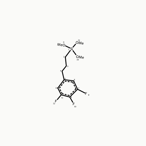 CO[Si](CCCc1cc(F)c(F)c(F)c1)(OC)OC